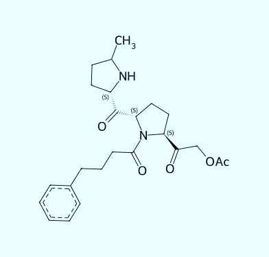 CC(=O)OCC(=O)[C@@H]1CC[C@@H](C(=O)[C@@H]2CCC(C)N2)N1C(=O)CCCc1ccccc1